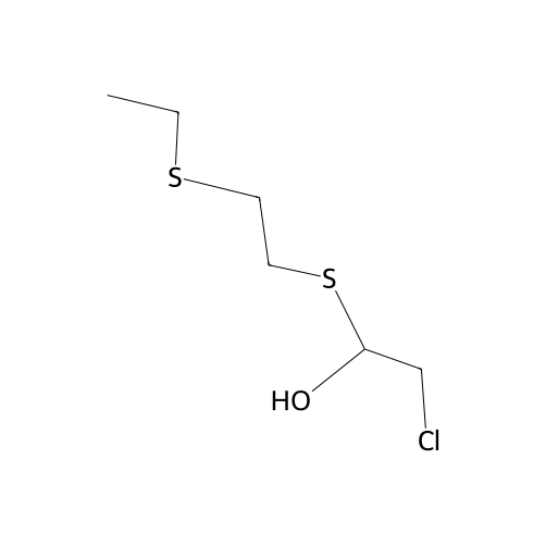 CCSCCSC(O)CCl